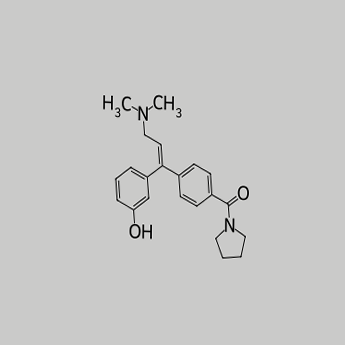 CN(C)C/C=C(/c1ccc(C(=O)N2CCCC2)cc1)c1cccc(O)c1